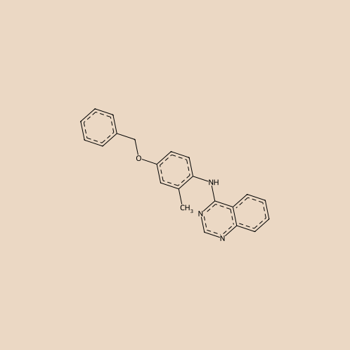 Cc1cc(OCc2ccccc2)ccc1Nc1ncnc2ccccc12